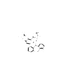 CSC(=O)Oc1c2n(ccc1=O)N([C@@H]1c3ccccc3SCc3c(C)cccc31)CN([C@H](C)C(F)(F)F)C2=O